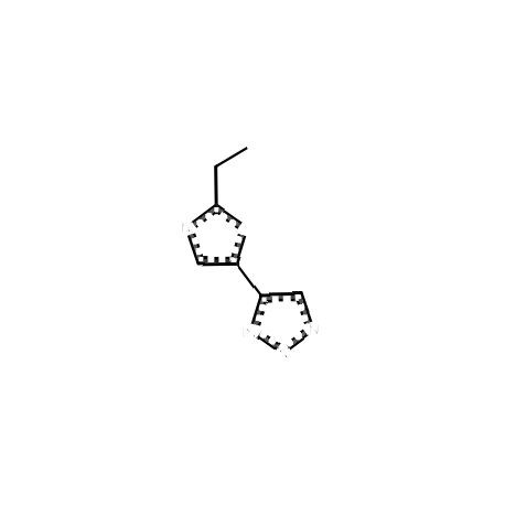 CCc1ncc(-c2cnn[nH]2)s1